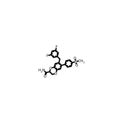 CS(=O)(=O)c1ccc(-c2cc3c(cc2Cc2cc(F)cc(F)c2)OC(C(N)=O)CO3)cc1